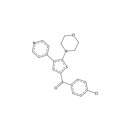 O=C(c1ccc(Cl)cc1)c1cc(-c2ccncc2)c(N2CCOCC2)s1